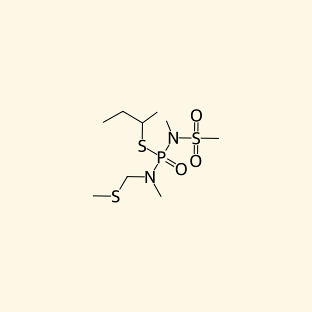 CCC(C)SP(=O)(N(C)CSC)N(C)S(C)(=O)=O